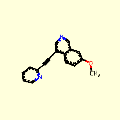 COc1ccc2c(C#Cc3ccccn3)cncc2c1